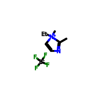 CC[N+]1(C)C=CN=C1C.F[B-](F)(F)F